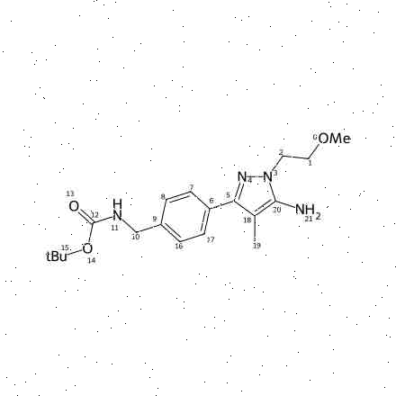 COCCn1nc(-c2ccc(CNC(=O)OC(C)(C)C)cc2)c(C)c1N